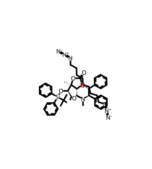 CC[C@@H](O[Si](c1ccccc1)(c1ccccc1)C(C)(C)C)[C@@]1(C)OC(=O)N(CCCCN=[N+]=[N-])[C@@H]1C(=O)N(C)[C@H](c1ccccc1)[C@H](OCCCCN=[N+]=[N-])c1ccccc1